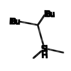 CCC(C)C(C(C)CC)[SiH](C)C